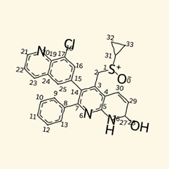 [O-][S+](Cc1c2c(nc(-c3ccccc3)c1-c1cc(Cl)c3ncccc3c1)NC(O)C=C2)C1CC1